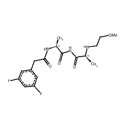 COCCN[C@@H](C)C(=O)NC(=O)[C@H](C)NC(=O)Cc1cc(F)cc(F)c1